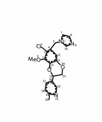 COc1c(Cl)c(Cn2ccnc2)cc2c1OC(c1ccc(C)nc1)CO2